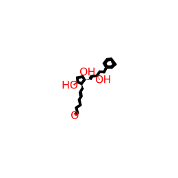 O=CCCC/C=C/C[C@@H]1[C@@H](/C=C/[C@@H](O)CCc2ccccc2)[C@H](O)C[C@@H]1O